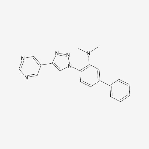 CN(C)c1cc(-c2ccccc2)ccc1-n1cc(-c2cncnc2)nn1